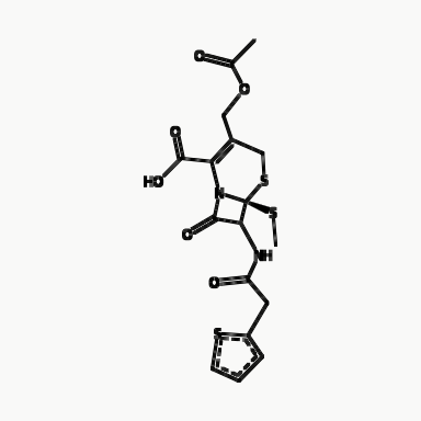 CS[C@]12SCC(COC(C)=O)=C(C(=O)O)N1C(=O)C2NC(=O)Cc1cccs1